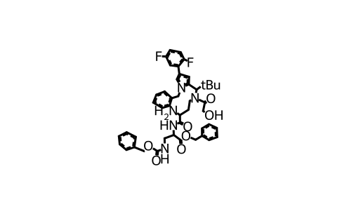 CC(C)(C)C(c1cc(-c2cc(F)ccc2F)cn1Cc1ccccc1)N(CCC(N)C(=O)NC(CNC(=O)OCc1ccccc1)C(=O)OCc1ccccc1)C(=O)CO